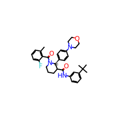 Cc1cccc(F)c1C(=O)N1CCCC(C(=O)Nc2cccc(C(C)(C)C)c2)[C@@H]1c1ccc(N2CCOCC2)cc1